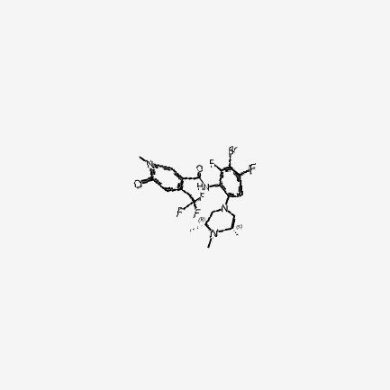 C[C@@H]1CN(c2cc(F)c(Br)c(F)c2NC(=O)c2cn(C)c(=O)cc2C(F)(F)F)C[C@H](C)N1C